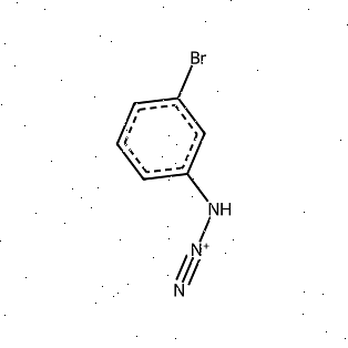 N#[N+]Nc1cccc(Br)c1